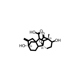 C=C1CC23C[C@@]1(O)CCC2[C@@]12CCC(O)[C@@](C)(C(=O)O1)C2C3C(=O)O